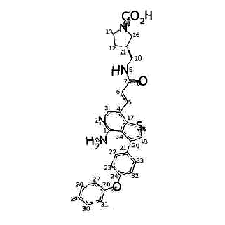 Nc1ncc(/C=C/C(=O)NC[C@H]2CCN(C(=O)O)C2)c2scc(-c3ccc(Oc4ccccc4)cc3)c12